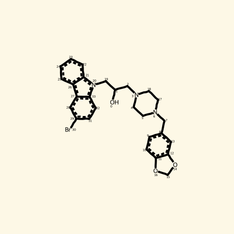 OC(CN1CCN(Cc2ccc3c(c2)OCO3)CC1)Cn1c2ccccc2c2cc(Br)ccc21